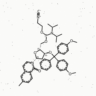 [C-]#[N+]CCOP(OC[C@H]1O[C@@H](n2ccc3cc(C)ccc3c2=O)C[C@@H]1OC(c1ccccc1)(c1ccc(OC)cc1)c1ccc(OC)cc1)N(C(C)C)C(C)C